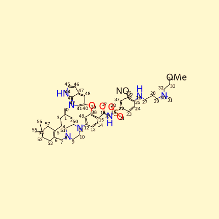 C=C(C)CCC1=C(CN2CCN(c3ccc(C(=O)NS(=O)(=O)c4ccc(NCCCN(C)CCOC)c([N+](=O)[O-])c4)c(Oc4cnc5[nH]ccc5c4)c3)CC2)CCC(C)(C)C1